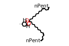 CCCCC/C=C\C/C=C\CCCCCCCCC1(CCCCCCCC/C=C\C/C=C\CCCCC)O[C@H]2C[C@@H](C)CC[C@H]2O1